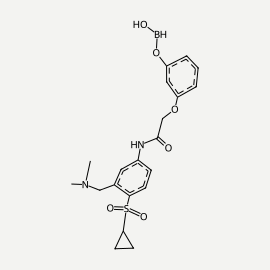 CN(C)Cc1cc(NC(=O)COc2cccc(OBO)c2)ccc1S(=O)(=O)C1CC1